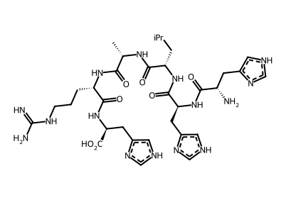 CC(C)C[C@H](NC(=O)[C@H](Cc1c[nH]cn1)NC(=O)[C@@H](N)Cc1c[nH]cn1)C(=O)N[C@@H](C)C(=O)N[C@@H](CCCNC(=N)N)C(=O)N[C@@H](Cc1c[nH]cn1)C(=O)O